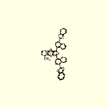 CC12CCC(c3nc4c(-c5ccc(-c6nc7ccccc7s6)c6ccccc56)sc(-c5ccc(-c6nc7ccccc7s6)c6ccccc56)c4nc31)C2(C)C